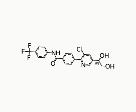 O=C(Nc1ccc(C(F)(F)F)cc1)c1ccc(-c2ncc([C@@H](O)CO)cc2Cl)cc1